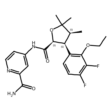 CCOc1c([C@H]2[C@@H](C(=O)Nc3ccnc(C(N)=O)c3)OC(C)(C)[C@H]2C)ccc(F)c1F